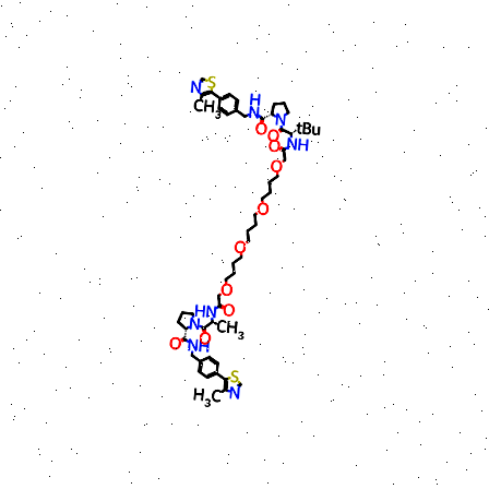 Cc1ncsc1-c1ccc(CNC(=O)[C@@H]2CCCN2C(=O)[C@H](C)NC(=O)COCCCCOCCCCOCCCCOCC(=O)N[C@H](C(=O)N2CCC[C@H]2C(=O)NCc2ccc(-c3scnc3C)cc2)C(C)(C)C)cc1